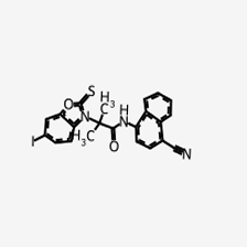 CC(C)(C(=O)Nc1ccc(C#N)c2ccccc12)n1c(=S)oc2cc(I)ccc21